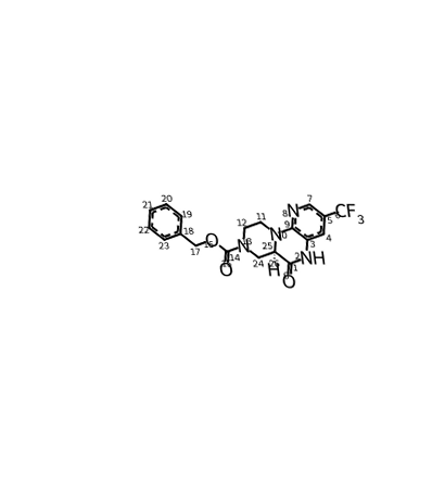 O=C1Nc2cc(C(F)(F)F)cnc2N2CCN(C(=O)OCc3ccccc3)C[C@H]12